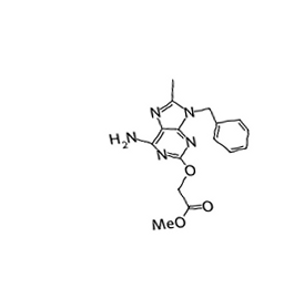 COC(=O)COc1nc(N)c2nc(C)n(Cc3ccccc3)c2n1